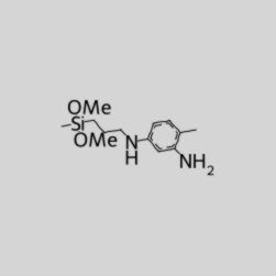 CO[Si](C)(CCCNc1ccc(C)c(N)c1)OC